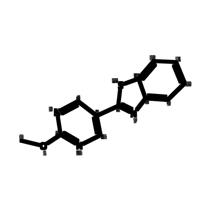 COc1ncc(-c2nc3ccccc3s2)cn1